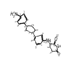 Nc1ccc(N2CCN(c3cccc(NC4CCC(=O)NC4=O)c3)CC2)cc1